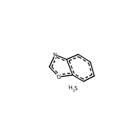 S.c1ccc2ocnc2c1